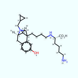 C[C@H]1[C@H]2Cc3ccc(O)cc3C1(CCCCN[C@@H](CCCCN)C(=O)O)CN2CC1CC1